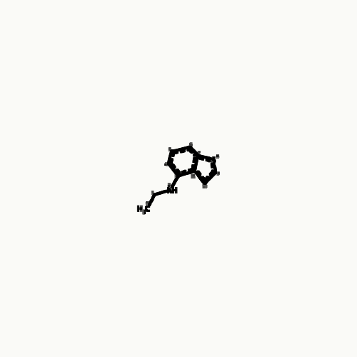 CCNc1cccc2sccc12